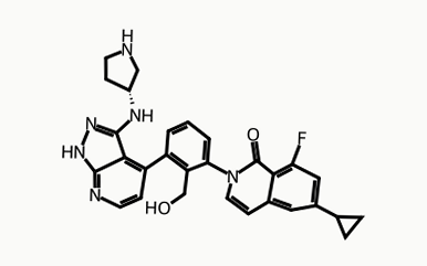 O=c1c2c(F)cc(C3CC3)cc2ccn1-c1cccc(-c2ccnc3[nH]nc(N[C@@H]4CCNC4)c23)c1CO